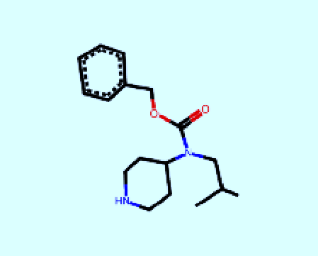 CC(C)CN(C(=O)OCc1ccccc1)C1CCNCC1